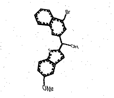 COc1ccc2sc(C(O)c3cc(Br)c4ccccc4c3)cc2c1